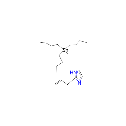 C=CCc1ncc[nH]1.CCC[CH2][Sn]([CH3])([CH2]CCC)[CH2]CCC